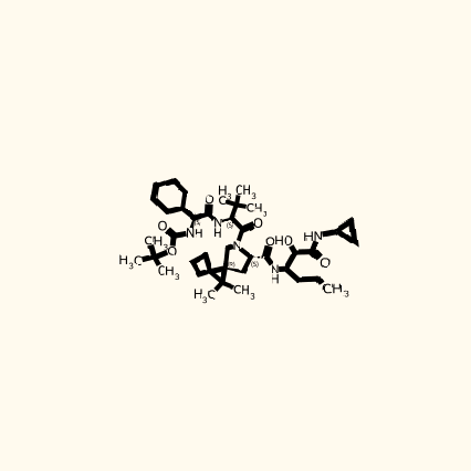 CCCC(NC(=O)[C@@H]1C[C@@]2(CN1C(=O)[C@@H](NC(=O)[C@@H](NC(=O)OC(C)(C)C)C1CCCCC1)C(C)(C)C)C(C)(C)C21CCC1)C(O)C(=O)NC1CC1